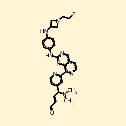 CN(C)C(/C=C/C=O)c1ccnc(-c2nccc3cnc(Nc4ccc(NC5CN(CCF)C5)cc4)nc23)c1